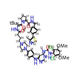 COc1cc(OC)c(Cl)c(NC(=O)N(C)c2cc(Nc3ccc(N4CCN(CCCC(=O)N[C@H](C(=O)N5CCC[C@H]5C(=O)N[C@@H](C)c5ccc(-c6scnc6C)cc5)C(C)(C)C)CC4)cc3)ncn2)c1Cl